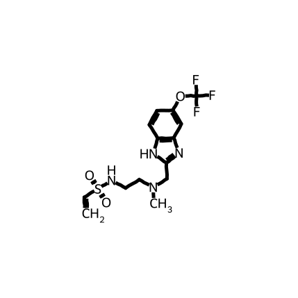 C=CS(=O)(=O)NCCN(C)Cc1nc2cc(OC(F)(F)F)ccc2[nH]1